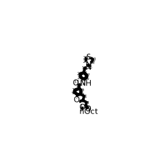 CCCCCCCCOC(=O)CC1COc2ccc(C(=O)Nc3ccc(C=NN4CCSCC4)cc3)cc2C1